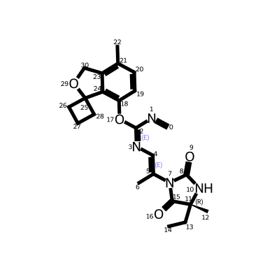 C=N/C(=N\C=C(/C)N1C(=O)N[C@](C)(CC)C1=O)Oc1ccc(C)c2c1C1(CCC1)OC2